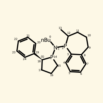 CCCCN(P1c2ccccc2CCCC1C)P1CCC[C@H]1c1ccccc1